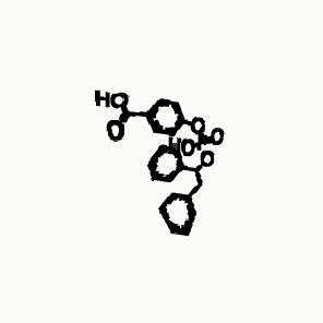 O=C(O)c1ccc(OP(=O)(O)OC(Cc2ccccc2)c2ccccc2)cc1